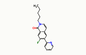 CCCCCn1ccc2cc(-c3ccccn3)c(F)cc2c1=O